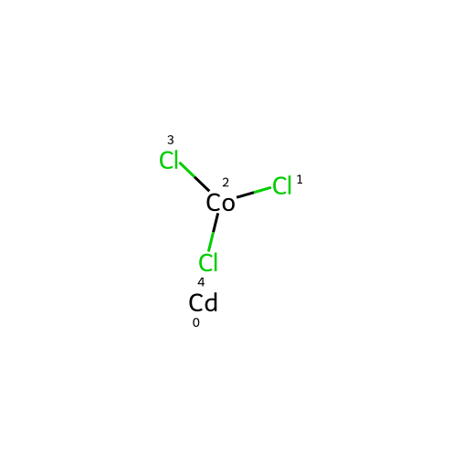 [Cd].[Cl][Co]([Cl])[Cl]